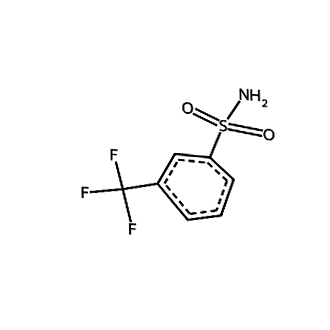 NS(=O)(=O)c1cccc(C(F)(F)F)c1